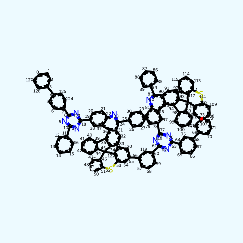 c1ccc(-c2ccc(-c3nc(-c4ccccc4)nc(-c4ccc5nc(-c6ccccc6)c6ccc7c(c6c5c4)-c4ccccc4C74c5ccccc5Sc5cc(-c6cccc(-c7nc(-c8cccc(-c9ccccc9)c8)nc(-c8ccc9nc(-c%10ccccc%10)c%10ccc%11c(c%10c9c8)-c8ccccc8C%118c9ccccc9Sc9ccccc98)n7)c6)ccc54)n3)cc2)cc1